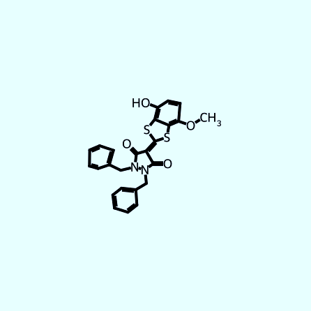 COc1ccc(O)c2c1SC(=C1C(=O)N(Cc3ccccc3)N(Cc3ccccc3)C1=O)S2